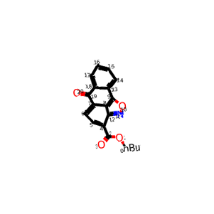 CCCCOC(=O)c1ccc2c3c(onc13)-c1ccccc1C2=O